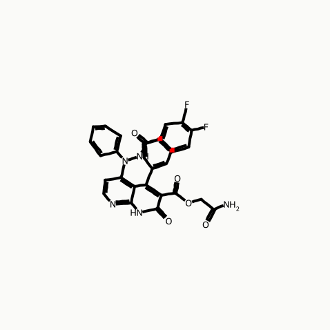 NC(=O)COC(=O)c1c(-c2ccccc2)c2c(N(NC(=O)c3ccc(F)c(F)c3)c3ccccc3)ccnc2[nH]c1=O